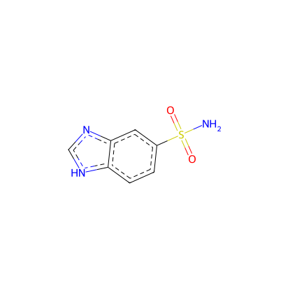 NS(=O)(=O)c1ccc2[nH]cnc2c1